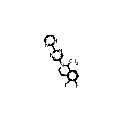 CC1c2ccc(F)c(F)c2CCN1c1cnc(-c2ncccn2)nc1